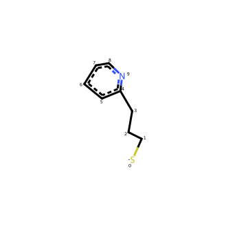 [S]CCCc1ccccn1